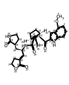 COc1cccc2[nH]c(C(=O)N3[C@@H]4CC[C@H]([C@H]3C(=O)N[C@@H](/C=C3\CCOC3=O)C[C@@H]3CCNC3=O)C(F)(F)C4)cc12